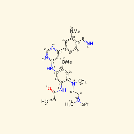 C=CC(=O)Nc1cc(Nc2cc(-c3ccc(C=N)c(NC)c3)ncn2)c(OC)cc1N(C)CCN(C)C(C)C